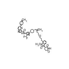 CN1CCN(c2ccn3ncc(C(=O)Nc4cn([C@H]5CC[C@H](CN(C)CCCOCCCc6cccc7c6n(C)c(=O)n7C6CCC(=O)NC6=O)CC5)nc4C(F)F)c3n2)CC1